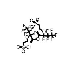 C=C(OC(=C)C(F)(OCCS(=O)(=O)Cl)C(F)(F)C(F)(F)F)C(F)(OCCS(=O)(=O)Cl)C(F)(F)C(F)(F)F